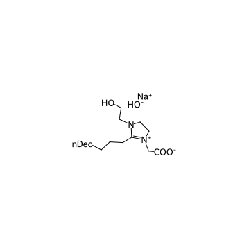 CCCCCCCCCCCCCC1=[N+](CC(=O)[O-])CCN1CCO.[Na+].[OH-]